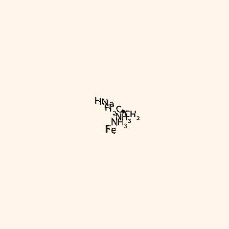 C=C.N.N.[Fe].[NaH]